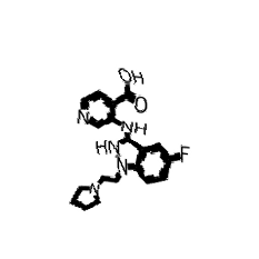 O=C(O)c1ccncc1NC1NN(CCN2CCCC2)c2ccc(F)cc21